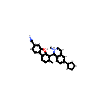 Cc1ccc2c(oc3cc(C#N)ccc32)c1-c1c2ccc(C3CCCC3)cc2cc[n+]1C